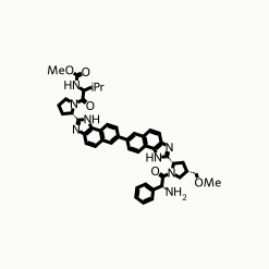 COC[C@H]1C[C@@H](c2nc3ccc4cc(-c5ccc6c(ccc7nc([C@@H]8CCCN8C(=O)C(NC(=O)OC)C(C)C)[nH]c76)c5)ccc4c3[nH]2)N(C(=O)[C@H](N)c2ccccc2)C1